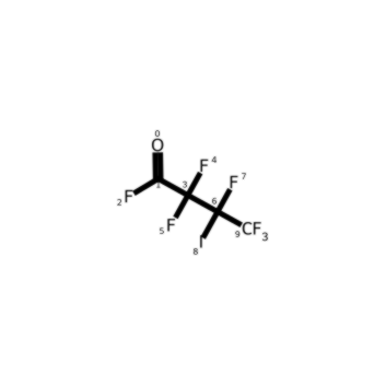 O=C(F)C(F)(F)C(F)(I)C(F)(F)F